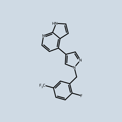 Fc1ccc(C(F)(F)F)cc1Cn1cc(-c2ccnc3[nH]ccc23)cn1